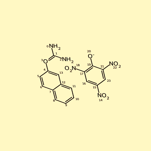 NC(N)=[O+]c1ccc2ccccc2c1.O=[N+]([O-])c1cc([N+](=O)[O-])c([O-])c([N+](=O)[O-])c1